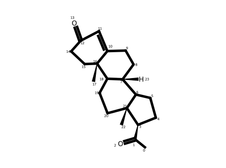 CC(=O)[C@@H]1CCC2[C@H]3CCC4=CC(=O)CC[C@@]4(C)C3CC[C@]21C